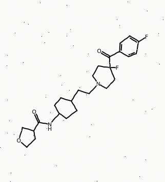 O=C(NC1CCC(CCN2CCC(F)(C(=O)c3ccc(F)cc3)CC2)CC1)C1CCOC1